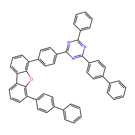 c1ccc(-c2ccc(-c3nc(-c4ccccc4)nc(-c4ccc(-c5cccc6c5oc5c(-c7ccc(-c8ccccc8)cc7)cccc56)cc4)n3)cc2)cc1